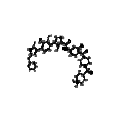 Cc1nn(Cc2ccccn2)cc1-c1ccc(-c2cnc(C(=O)Nc3ccc(C(=O)N4CCN(C(=O)C5CC[N+](C)(C)CC5)CC4)c(Cl)c3)n2C)c(F)c1F